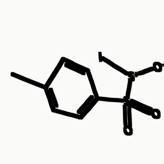 Cc1ccc(S(=O)(=O)[S+]([O-])I)cc1